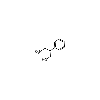 O=[N+]([O-])CC(CO)c1ccccc1